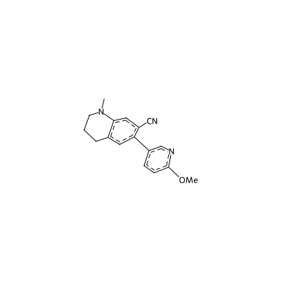 COc1ccc(-c2cc3c(cc2C#N)N(C)CCC3)cn1